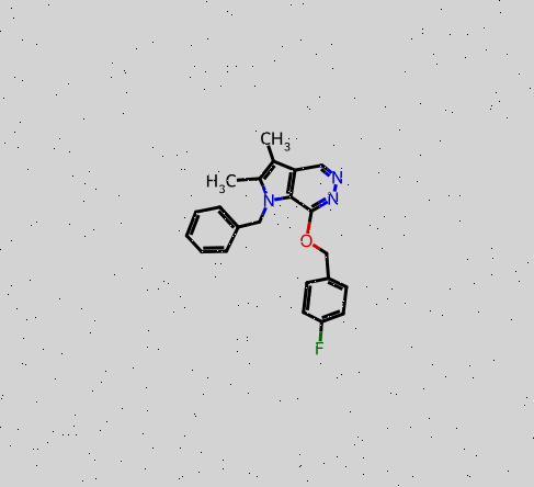 Cc1c(C)n(Cc2ccccc2)c2c(OCc3ccc(F)cc3)nncc12